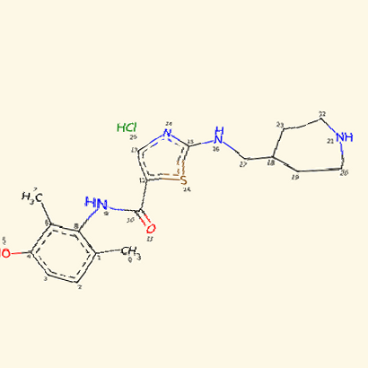 Cc1ccc(O)c(C)c1NC(=O)c1cnc(NCC2CCNCC2)s1.Cl